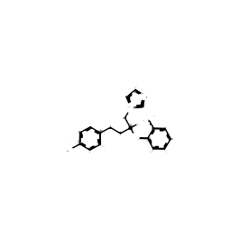 CC(CCc1ccc(Br)cc1)(Cn1ccnc1)Sc1ccccc1Cl